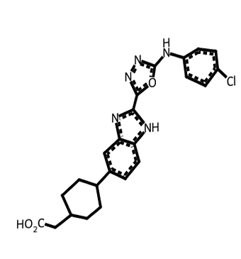 O=C(O)CC1CCC(c2ccc3[nH]c(-c4nnc(Nc5ccc(Cl)cc5)o4)nc3c2)CC1